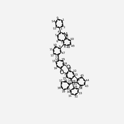 c1ccc(-c2ccc3c(-c4cccc(-c5ccc6c(c5)Oc5cc7c(cc5O6)C(c5ccccc5)(c5ccccc5)c5ccccc5-7)c4)cccc3n2)cc1